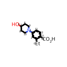 CCc1cc(N2CCC(O)CC2)ccc1C(=O)O